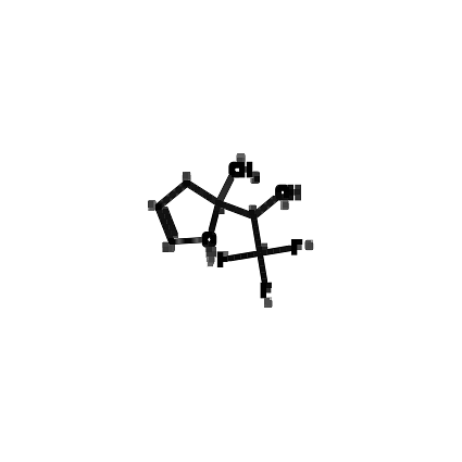 CC1(C(O)C(F)(F)F)CC=CO1